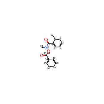 Cc1ccccc1C(=O)N(C)OC(=O)c1ccccc1